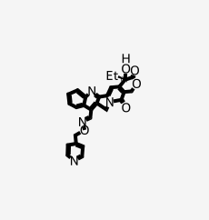 CC[C@@]1(O)C(=O)OCc2c1cc1n(c2=O)Cc2c-1nc1ccccc1c2C=NOCc1ccncc1